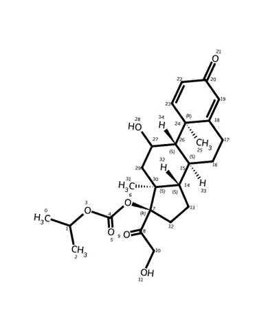 CC(C)OC(=O)O[C@]1(C(=O)CO)CC[C@H]2[C@@H]3CCC4=CC(=O)C=C[C@]4(C)[C@H]3C(O)C[C@@]21C